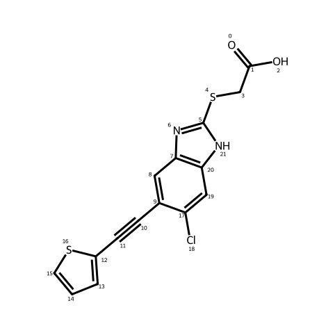 O=C(O)CSc1nc2cc(C#Cc3cccs3)c(Cl)cc2[nH]1